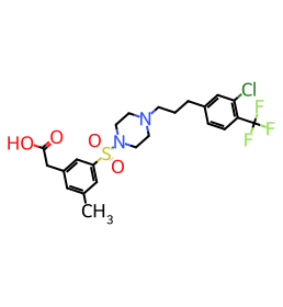 Cc1cc(CC(=O)O)cc(S(=O)(=O)N2CCN(CCCc3ccc(C(F)(F)F)c(Cl)c3)CC2)c1